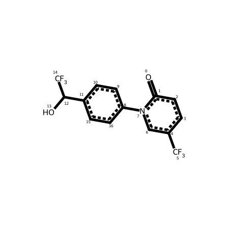 O=c1ccc(C(F)(F)F)cn1-c1ccc(C(O)C(F)(F)F)cc1